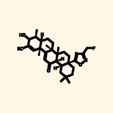 C[C@@H]1C(O)C(C#N)=C[C@]2(C)C3=CC(=O)[C@@H]4[C@@H]5CC(C)(C)CC[C@]5(c5nc(CF)no5)CC[C@@]4(C)[C@]3(C)CC[C@@H]12